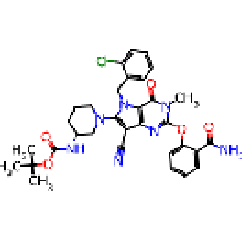 Cn1c(Oc2ccccc2C(N)=O)nc2c(C#N)c(N3CCC[C@@H](NC(=O)OC(C)(C)C)C3)n(Cc3ccccc3Cl)c2c1=O